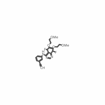 C#Cc1cccc(Nc2ncnc3c2C(F)C(OCCOC)=C(OCCOC)C3F)c1